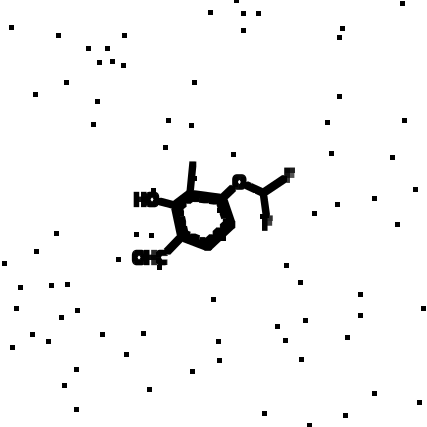 Cc1c(OC(F)F)ccc(C=O)c1O